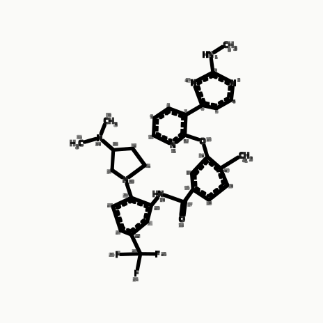 CNc1nccc(-c2cccnc2Oc2cc(C(=O)Nc3cc(C(F)(F)F)ccc3N3CCC(N(C)C)C3)ccc2C)n1